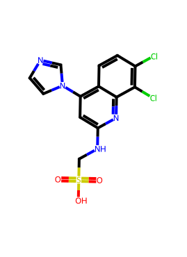 O=S(=O)(O)CNc1cc(-n2ccnc2)c2ccc(Cl)c(Cl)c2n1